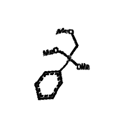 COC[Si](OC)(OC)c1ccccc1